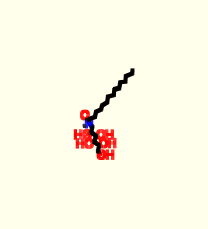 CCCCCC=CCCCCCCCC(=O)N(C)C[C@H](O)[C@@H](O)[C@H](O)[C@H](O)CO